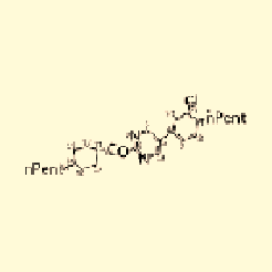 CCCCCc1ccc(-c2cnc(OC[C@H]3CC[C@H](CCCCC)CC3)nc2)cc1Cl